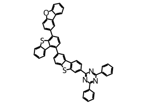 c1ccc(-c2nc(-c3ccccc3)nc(-c3ccc4c(c3)sc3ccc(-c5ccc(-c6ccc7oc8ccccc8c7c6)c6sc7ccccc7c56)cc34)n2)cc1